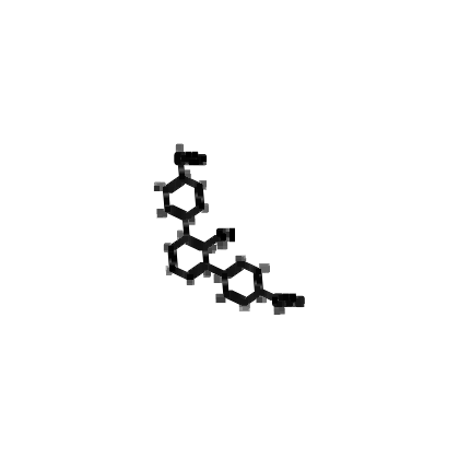 COc1ccc(-c2cccc(-c3ccc(OC)cc3)c2S)cc1